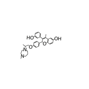 CC1=C(c2cccc(O)c2)C(c2ccc(OCC(C)N3CCCN(C)CC3)cc2)Oc2ccc(O)cc21